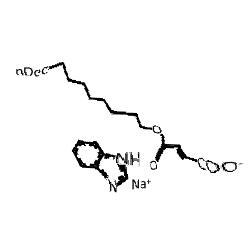 CCCCCCCCCCCCCCCCCCOC(=O)/C=C/C(=O)[O-].[Na+].c1ccc2[nH]cnc2c1